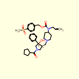 C=CCN(C(=O)OCc1ccc(S(C)(=O)=O)cc1)C1CCN(C[C@H]2CN(C(=O)C3CCCC3)C[C@]2(O)c2ccccc2)CC1